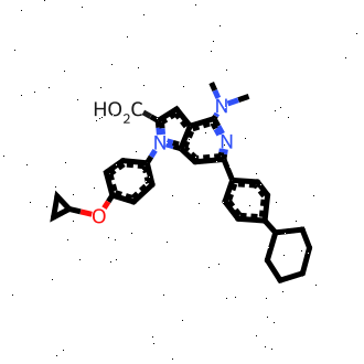 CN(C)c1nc(-c2ccc(C3CCCCC3)cc2)cc2c1cc(C(=O)O)n2-c1ccc(OC2CC2)cc1